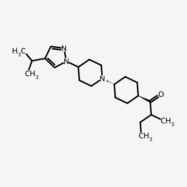 CCC(C)C(=O)[C@H]1CC[C@H](N2CCC(n3cc(C(C)C)cn3)CC2)CC1